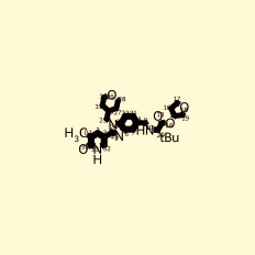 Cc1cc(-c2nc3cc(CN[C@H](C(=O)OC4CCOC4)C(C)(C)C)ccc3n2CC2CCOCC2)c[nH]c1=O